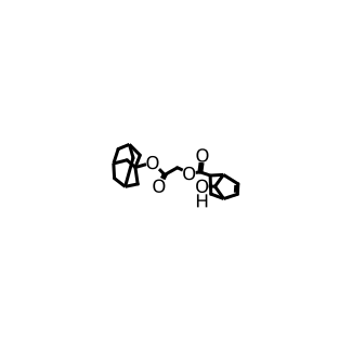 O=C(COC(=O)C1CC2C=CC1C2O)OC12CC3CC(CC(C3)C1)C2